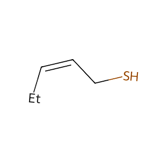 CC/C=C\CS